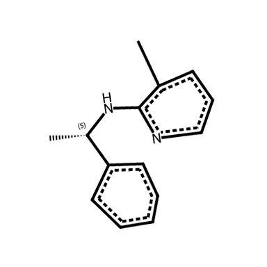 Cc1cccnc1N[C@@H](C)c1ccccc1